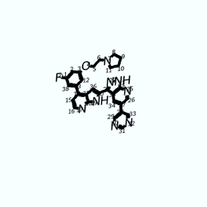 Fc1cc(OCCN2CCCC2)cc(-c2ccnc3[nH]c(-c4n[nH]c5ncc(-c6cncnc6)cc45)cc23)c1